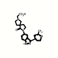 O=C(O)CN1CCC2(CCN(c3ccc4[nH]nc(-c5ccnc(C(F)(F)F)c5)c4c3)C2=O)C1